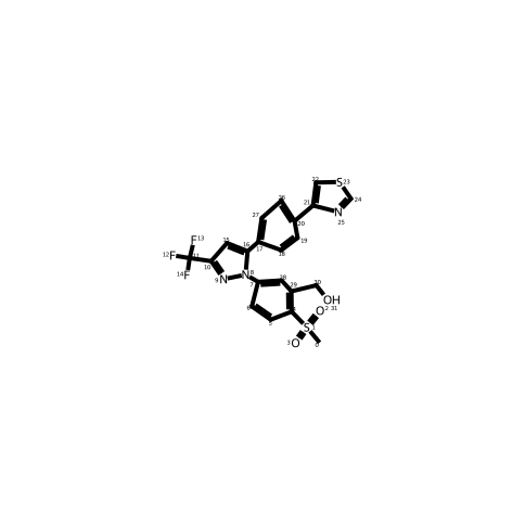 CS(=O)(=O)c1ccc(-n2nc(C(F)(F)F)cc2-c2ccc(-c3cscn3)cc2)cc1CO